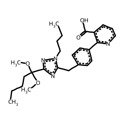 CCCCn1nc(C(CCCC)(OC)OC)nc1Cc1ccc(-c2ncccc2C(=O)O)cc1